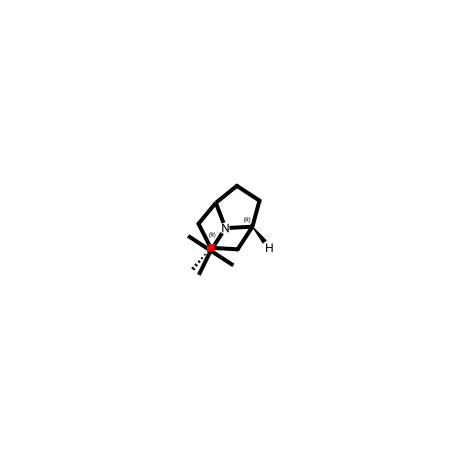 C[C@@H]1CC2CC[C@H](C1)N2C(C)(C)C